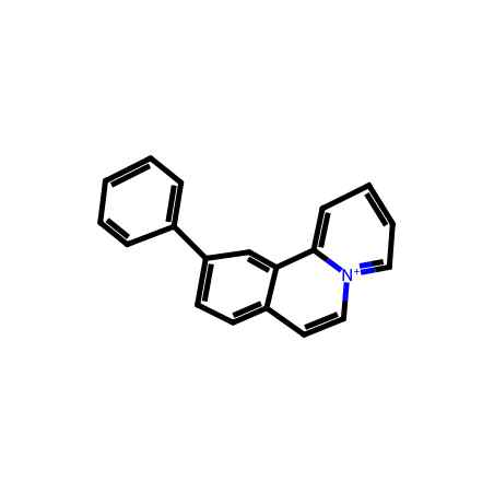 c1ccc(-c2ccc3cc[n+]4ccccc4c3c2)cc1